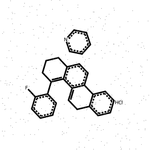 Cl.Fc1ccccc1C1=c2c(ccc3c2=CCc2ccccc2-3)CCC1.c1ccncc1